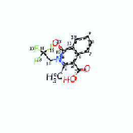 Cc1c(C(=O)O)c2ccccc2c(=O)n1CC(F)(F)F